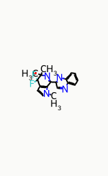 Cn1ccc2c1C(c1cnc3ccccc3n1)=NC(C)(C)C2(F)F